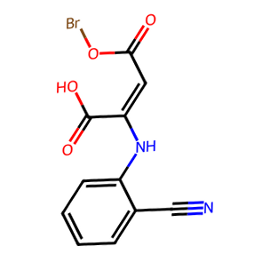 N#Cc1ccccc1NC(=CC(=O)OBr)C(=O)O